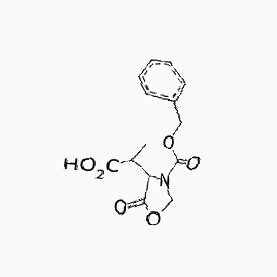 CC(C(=O)O)C1C(=O)OCN1C(=O)OCc1ccccc1